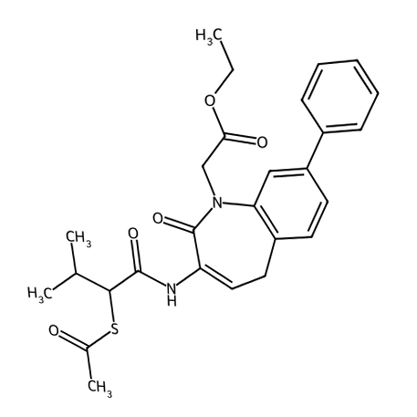 CCOC(=O)CN1C(=O)C(NC(=O)C(SC(C)=O)C(C)C)=CCc2ccc(-c3ccccc3)cc21